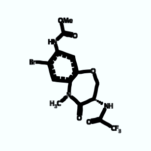 COC(=O)Nc1cc2c(cc1Br)N(C)C(=O)[C@@H](NC(=O)C(F)(F)F)CO2